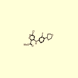 COC(=O)c1nnc(Cl)cc1Nc1ccc(C2CCOCC2)c(F)c1